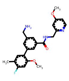 COc1ccnc(CNC(=O)c2cc(CN)cc(-c3cc(C)c(F)cc3OC)c2)c1